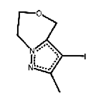 Cc1nn2c(c1I)COCC2